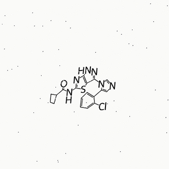 O=C(Nc1nc2[nH]nc(-n3cncc3-c3ccccc3Cl)c2s1)C1CCC1